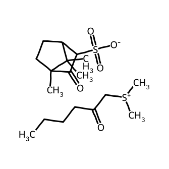 CC12CCC(C(S(=O)(=O)[O-])C1=O)C2(C)C.CCCCC(=O)C[S+](C)C